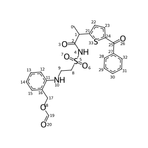 CC(C(=O)NS(=O)(=O)CCNc1ccccc1COC=O)c1ccc(C(=O)c2ccccc2)s1